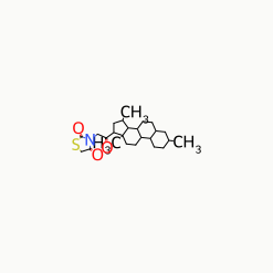 CC1CCC2C(CCC3C2CCC2(C)C(C(=O)CN4C(=O)CSC4=O)CC(C)C32)C1